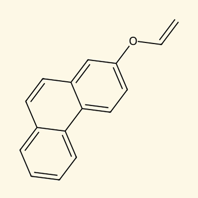 C=COc1ccc2c(ccc3ccccc32)c1